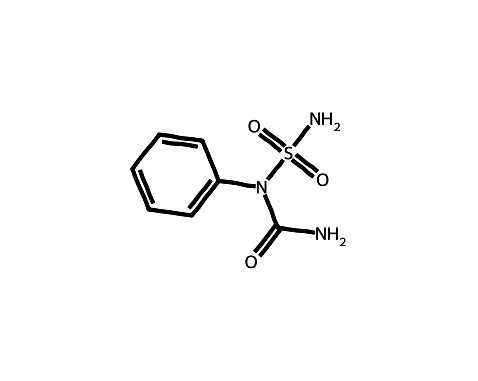 NC(=O)N(c1ccccc1)S(N)(=O)=O